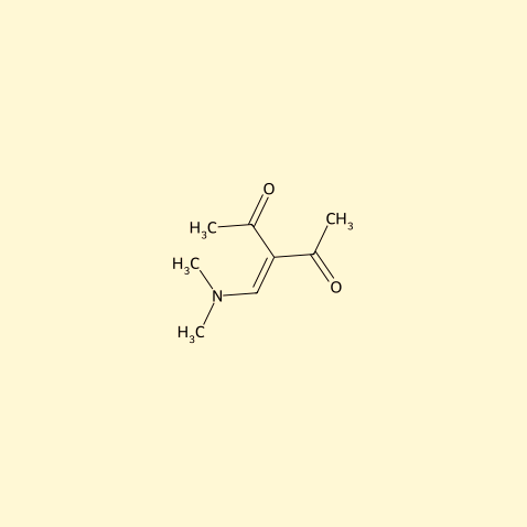 CC(=O)C(=CN(C)C)C(C)=O